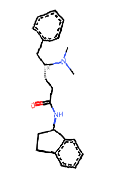 CN(C)[C@H](CCC(=O)NC1CCc2ccccc21)Cc1ccccc1